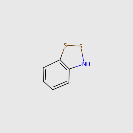 [c]1cccc2c1NSS2